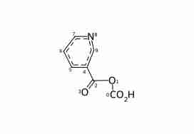 O=C(O)OC(=O)c1cccnc1